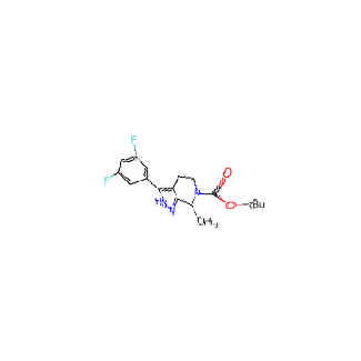 CC1c2n[nH]c(-c3cc(F)cc(F)c3)c2CCN1C(=O)OC(C)(C)C